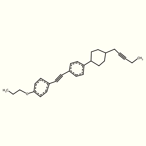 CCC#CCC1CCC(c2ccc(C#Cc3ccc(OCCC)cc3)cc2)CC1